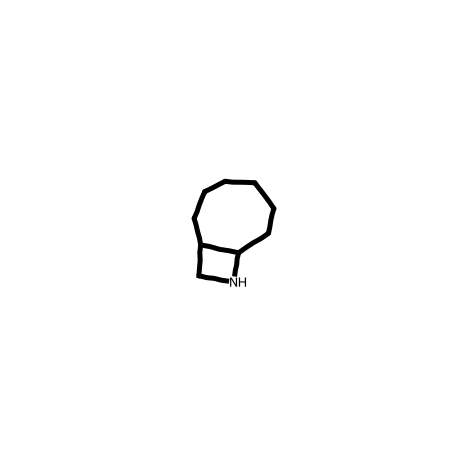 C1CCCC2NCC2CC1